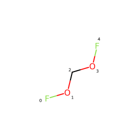 FOCOF